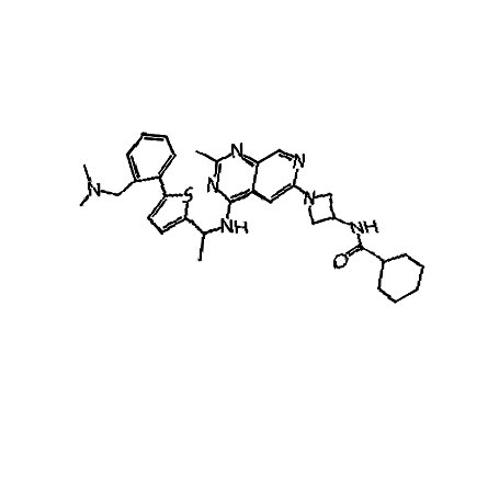 Cc1nc(NC(C)c2ccc(-c3ccccc3CN(C)C)s2)c2cc(N3CC(NC(=O)C4CCCCC4)C3)ncc2n1